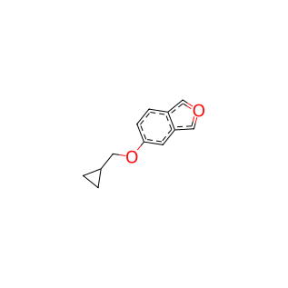 c1cc2cocc2cc1OCC1CC1